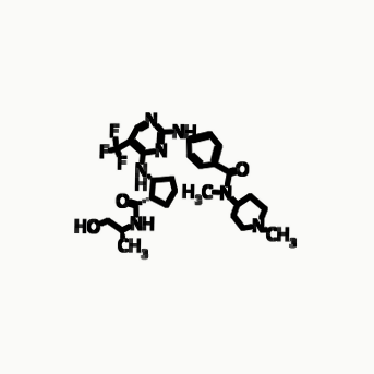 C[C@@H](CO)NC(=O)[C@H]1CCC[C@H]1Nc1nc(Nc2ccc(C(=O)N(C)C3CCN(C)CC3)cc2)ncc1C(F)(F)F